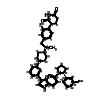 CN(Cc1ccc(C2CCC(=O)NC2=O)c(F)c1)C1CCN(c2cccc(-c3cnc4ccc(N5CCC[C@@H]5c5cccc(F)c5)nn34)n2)CC1